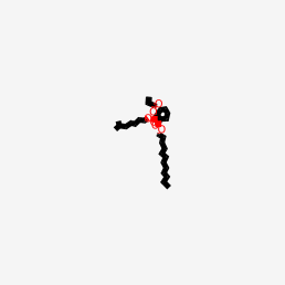 C=CC(=O)OC1(C(=O)OCCCCCC(C)C)CCCCC1C(=O)OCCCCCCCCCCCC